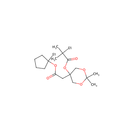 CCC1(OC(=O)CC2(OC(=O)C(C)(C)CC)COC(C)(C)OC2)CCCC1